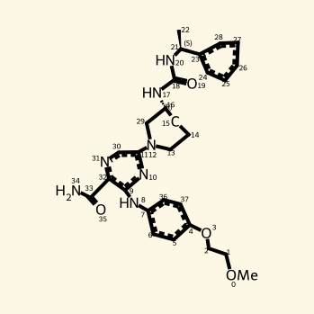 COCCOc1ccc(Nc2nc(N3CCC[C@@H](NC(=O)N[C@@H](C)c4ccccc4)C3)cnc2C(N)=O)cc1